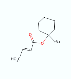 CC(C)(C)C1(OC(=O)C=CC(=O)O)CCCCC1